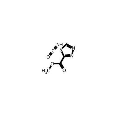 COC(=O)c1nncs1.N=C=O